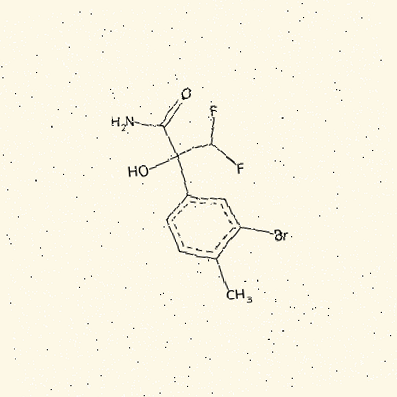 Cc1ccc(C(O)(C(N)=O)C(F)F)cc1Br